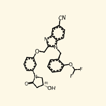 N#Cc1ccc2c(c1)nc(COc1cccc(N3C[C@H](O)CC3=O)c1)n2Cc1ccccc1OC(F)F